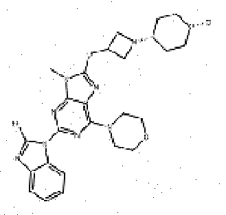 CCc1nc2ccccc2n1-c1nc(N2CCOCC2)c2nc(OC3CN([C@H]4CC[S@@+]([O-])CC4)C3)n(C)c2n1